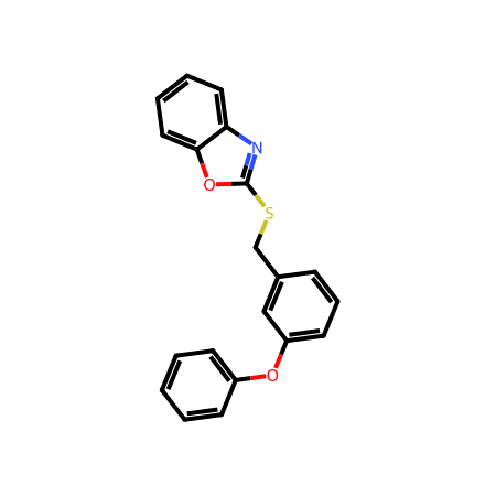 c1ccc(Oc2cccc(CSc3nc4ccccc4o3)c2)cc1